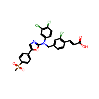 CS(=O)(=O)c1ccc(-c2cnc(N(Cc3ccc(/C=C/C(=O)O)c(Br)c3)c3ccc(Cl)c(Cl)c3)o2)cc1